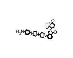 Nc1ccc(N2CCN(C3CCN(c4cccc5c4CN(C4CCC(=O)NC4=O)C5=O)CC3)CC2)cc1